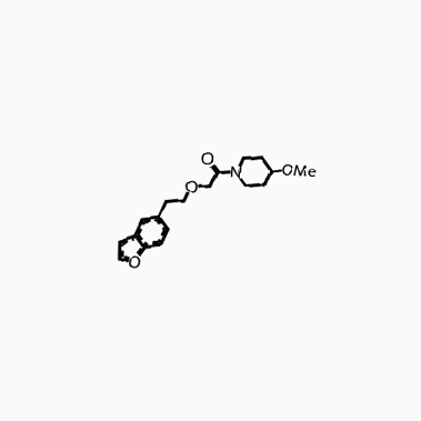 COC1CCN(C(=O)COCCc2ccc3occc3c2)CC1